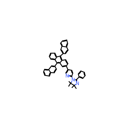 CC1(C)N=C(c2ccccc2)N(c2ccc(-c3ccc4c(-c5ccc6ccccc6c5)c5ccccc5c(-c5ccc6ccccc6c5)c4c3)cn2)C1(C)C